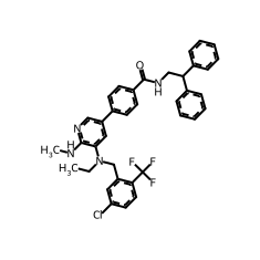 CCN(Cc1cc(Cl)ccc1C(F)(F)F)c1cc(-c2ccc(C(=O)NCC(c3ccccc3)c3ccccc3)cc2)cnc1NC